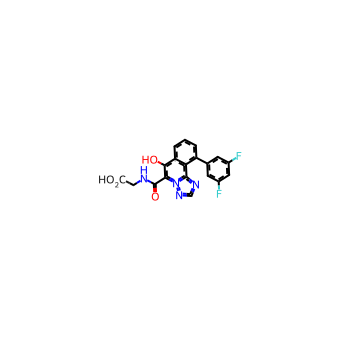 O=C(O)CNC(=O)c1c(O)c2cccc(-c3cc(F)cc(F)c3)c2c2ncnn12